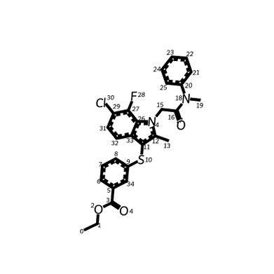 CCOC(=O)c1cccc(Sc2c(C)n(CC(=O)N(C)c3ccccc3)c3c(F)c(Cl)ccc23)c1